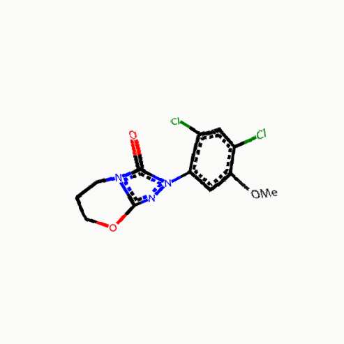 COc1cc(-n2nc3n(c2=O)CCCO3)c(Cl)cc1Cl